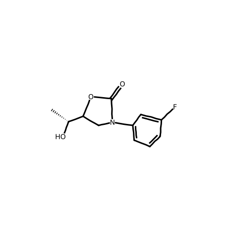 C[C@@H](O)C1CN(c2cccc(F)c2)C(=O)O1